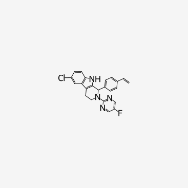 C=Cc1ccc(C2c3[nH]c4ccc(Cl)cc4c3CCN2c2ncc(F)cn2)cc1